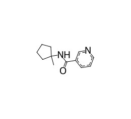 CC1(NC(=O)c2cccnc2)CCCC1